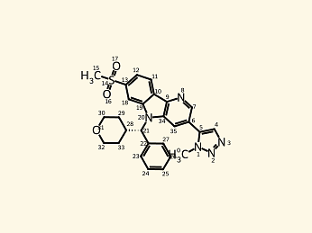 Cn1nncc1-c1cnc2c3ccc(S(C)(=O)=O)cc3n([C@H](c3ccccc3)C3CCOCC3)c2c1